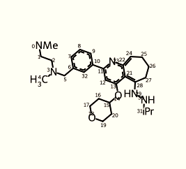 CNCCN(C)Cc1cccc(-c2cc(OC3CCOCC3)c3c(n2)=CCCCC=3NNC(C)C)c1